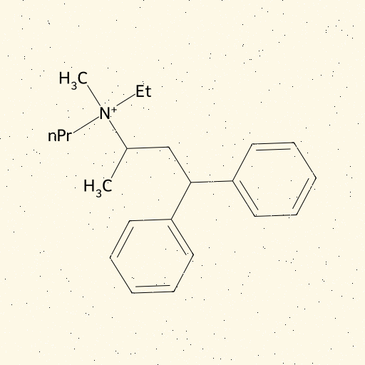 CCC[N+](C)(CC)C(C)CC(c1ccccc1)c1ccccc1